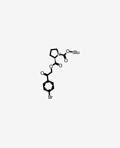 CC(C)(C)OC(=O)N1CCC[C@@H]1C(=O)OCC(=O)c1ccc(Br)cc1